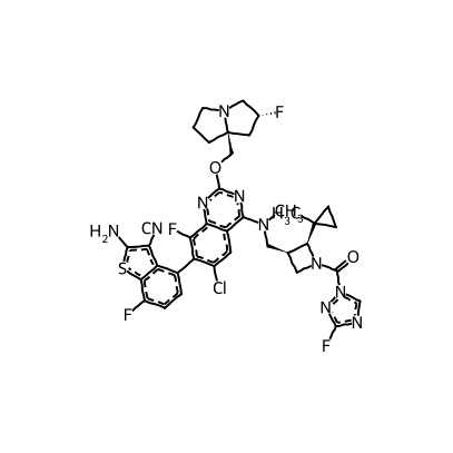 CN(C[C@@H]1CN(C(=O)n2cnc(F)n2)[C@@H]1C1(C)CC1)c1nc(OC[C@@]23CCCN2C[C@H](F)C3)nc2c(F)c(-c3ccc(F)c4sc(N)c(C#N)c34)c(Cl)cc12